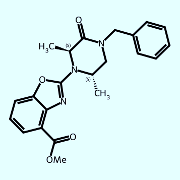 COC(=O)c1cccc2oc(N3[C@@H](C)CN(Cc4ccccc4)C(=O)[C@@H]3C)nc12